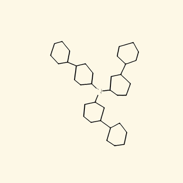 C1CCC(C2CCC(N(C3CCCC(C4CCCCC4)C3)C3CCCC(C4CCCCC4)C3)CC2)CC1